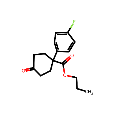 CCCOC(=O)C1(c2ccc(F)cc2)CCC(=O)CC1